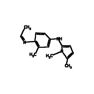 C/C=N\c1ccc(Nc2ccc(C)n2C)cc1C